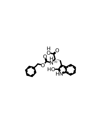 O=C(N[C@@H](Cc1c(O)[nH]c2ccccc12)C(=O)O)OCc1ccccc1